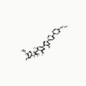 CCCCCC1CCC(c2ccc(-c3ccc(-c4cc(F)c(C(F)(F)Oc5ccc(OCCCC)c(F)c5)c(F)c4)c(F)c3)cc2)CC1